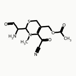 CC(=O)OCC1=C(C(=O)C#N)N(C)C(C(N)C=O)SC1